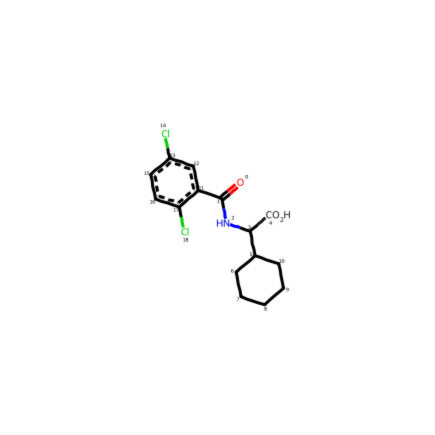 O=C(NC(C(=O)O)C1CCCCC1)c1cc(Cl)ccc1Cl